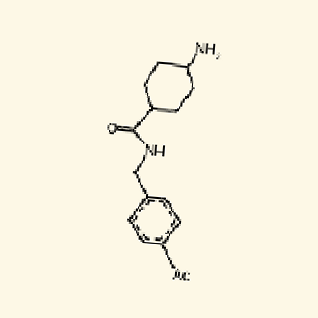 CC(=O)c1ccc(CNC(=O)C2CCC(N)CC2)cc1